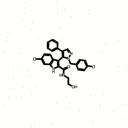 O=C(NCCO)c1[nH]c2cc(Cl)ccc2c1-c1c(-c2ccccc2)cnn1Cc1ccc(Cl)cc1